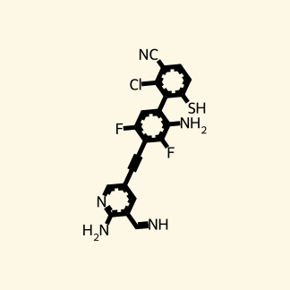 N#Cc1ccc(S)c(-c2cc(F)c(C#Cc3cnc(N)c(C=N)c3)c(F)c2N)c1Cl